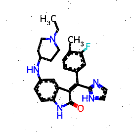 CCN1CCC(Nc2ccc3c(c2)/C(=C(\c2ccc(C)c(F)c2)c2ncc[nH]2)C(=O)N3)CC1